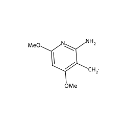 [CH2]c1c(OC)cc(OC)nc1N